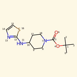 CC(C)(C)OC(=O)N1CCC(Nc2nccs2)CC1